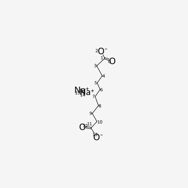 O=C([O-])CCCCCCCCC(=O)[O-].[Na+].[Na+]